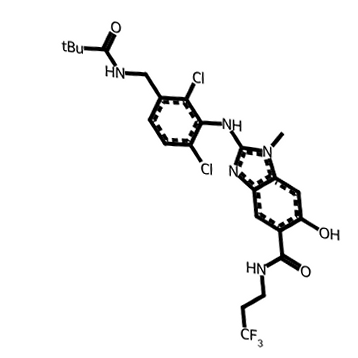 Cn1c(Nc2c(Cl)ccc(CNC(=O)C(C)(C)C)c2Cl)nc2cc(C(=O)NCCC(F)(F)F)c(O)cc21